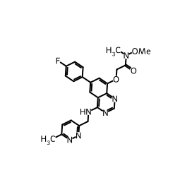 CON(C)C(=O)COc1cc(-c2ccc(F)cc2)cc2c(NCc3ccc(C)nn3)ncnc12